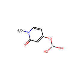 Cn1ccc(OB(O)O)cc1=O